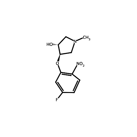 CN1C[C@@H](O)[C@H](Oc2cc(F)ccc2[N+](=O)[O-])C1